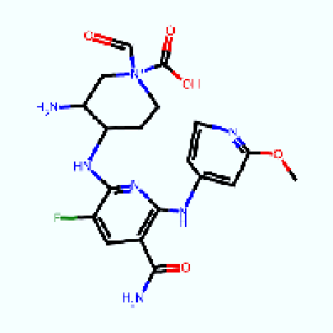 COc1cc(Nc2nc(NC3CC[N+]([C]=O)(C(=O)O)CC3N)c(F)cc2C(N)=O)ccn1